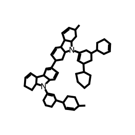 CC1C=CC(C2C=C(N3C4C=CC(C5C=CC6C7C=CC(C)CC7N(C7=CC(C8CCCCC8)CC(C8CC=CCC8)C7)C6C5)=CC4C4C=CCCC43)CCC2)CC1